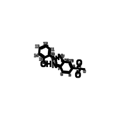 CS(=O)(=O)c1ccc2nn(-c3c[c]ccc3O)nc2c1